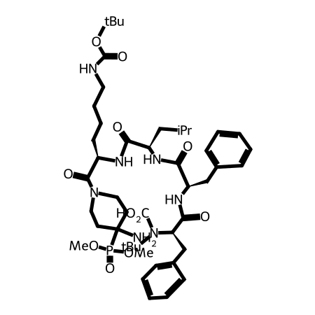 COP(=O)(OC)C1(N)CCN(C(=O)[C@@H](CCCCNC(=O)OC(C)(C)C)NC(=O)[C@@H](CC(C)C)NC(=O)[C@@H](Cc2ccccc2)NC(=O)[C@@H](Cc2ccccc2)N(C(=O)O)C(C)(C)C)CC1